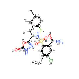 Cc1ccc(F)c(C(C)C(NS(=O)(=O)c2cc(C(=O)O)c(Cl)cc2C(N)=O)c2n[nH]c(=O)o2)c1C